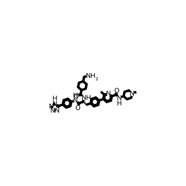 Cc1nc(C(=O)NC2CCN(C)CC2)ccc1-c1ccc(C[C@H](NC(=O)C2CCC(CN)CC2)C(=O)Nc2ccc(-c3nnn[nH]3)cc2)cc1